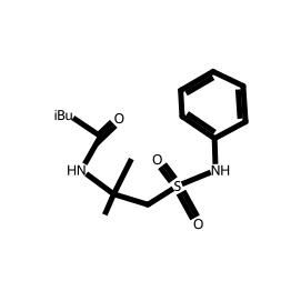 CCC(C)C(=O)NC(C)(C)CS(=O)(=O)Nc1ccccc1